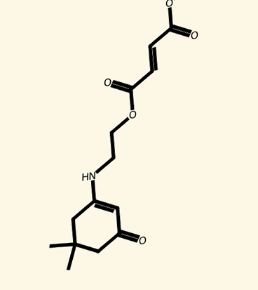 COC(=O)/C=C/C(=O)OCCNC1=CC(=O)CC(C)(C)C1